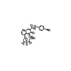 Cn1c(=O)c(C(=O)NCc2ccc(C#N)cc2)cc2nccc(OCC3(S(=O)(=O)C4(CO)CC4)CC3)c21